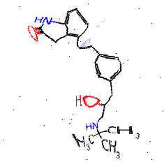 CC(C)(C)NCC(O)Cc1ccc(/C=C/c2cccc3c2CC(=O)N3)cc1